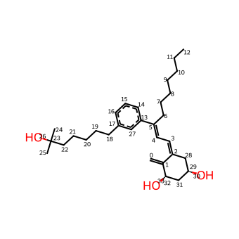 C=C1/C(=C\C=C(/CCCCCCC)c2cccc(CCCCCC(C)(C)O)c2)C[C@@H](O)C[C@H]1O